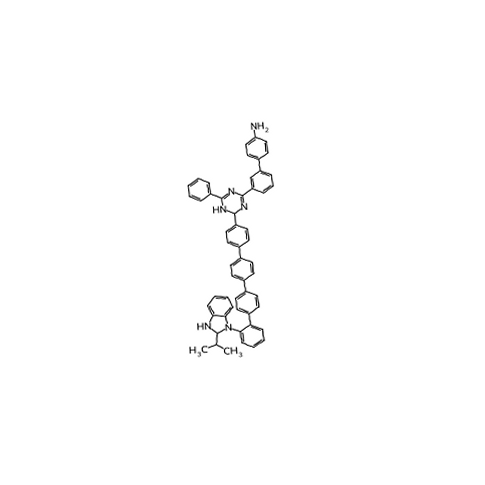 CC(C)C1Nc2ccccc2N1c1ccccc1-c1ccc(-c2ccc(-c3ccc(C4N=C(c5cccc(-c6ccc(N)cc6)c5)N=C(c5ccccc5)N4)cc3)cc2)cc1